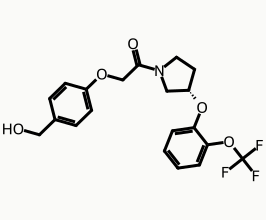 O=C(COc1ccc(CO)cc1)N1CC[C@H](Oc2ccccc2OC(F)(F)F)C1